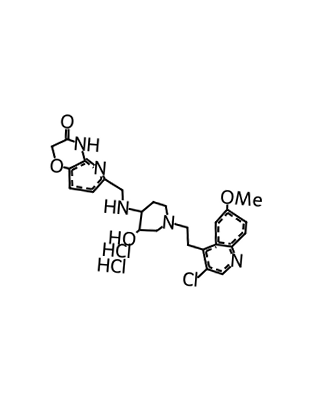 COc1ccc2ncc(Cl)c(CCN3CCC(NCc4ccc5c(n4)NC(=O)CO5)C(O)C3)c2c1.Cl.Cl